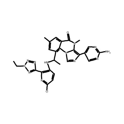 CCn1nnc(-c2nc(Cl)ccc2NC(C)c2cc(C)cc3c(=O)n(C)c4c(-c5cnc(N)nc5)ncn4c23)n1